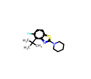 CC(C)(C)c1c(F)ccc2sc(N3CCCCC3)nc12